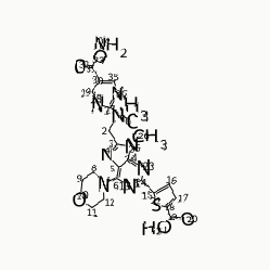 CN(Cc1nc2c(N3CCOCC3)nc(-c3ccc(C(=O)O)s3)nc2n1C)c1ncc(C(=O)ON)cn1